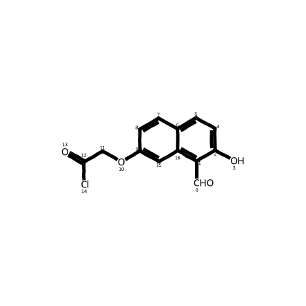 O=Cc1c(O)ccc2ccc(OCC(=O)Cl)cc12